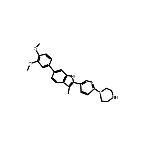 COc1ccc(-c2ccc3c(C)c(-c4ccc(N5CCNCC5)nc4)[nH]c3c2)cc1OC